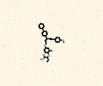 CCC(Oc1ccc(SCC=C(C#Cc2ccc(OC)cc2)c2ccc(-c3ccccc3)cc2)cc1C)C(=O)O